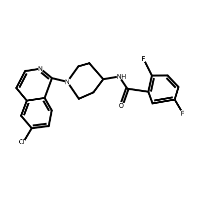 O=C(NC1CCN(c2nccc3cc(Cl)ccc23)CC1)c1cc(F)ccc1F